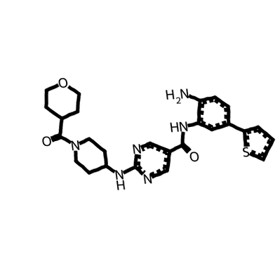 Nc1ccc(-c2cccs2)cc1NC(=O)c1cnc(NC2CCN(C(=O)C3CCOCC3)CC2)nc1